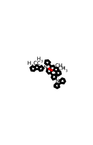 CC1(C)c2ccccc2-c2ccc(N(c3ccc(-c4ccc(-n5c6ccccc6c6ccccc65)cc4)cc3)c3ccccc3C3=CC4C(C=C3)c3ccccc3C4(C)C)cc21